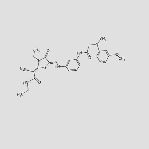 CCNC(=O)C(C#N)=c1sc(=CNc2cccc(NC(=O)CN(C)c3cccc(OC)c3)c2)c(=O)n1CC